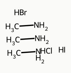 Br.CN.CN.CN.Cl.I